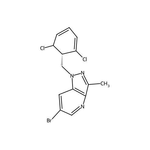 Cc1nn(C[C@H]2C(Cl)=CC=CC2Cl)c2cc(Br)cnc12